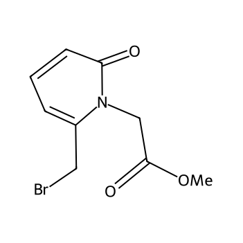 COC(=O)Cn1c(CBr)cccc1=O